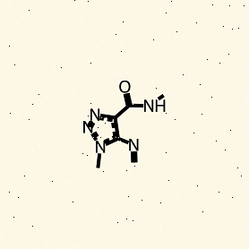 C=Nc1c(C(=O)NC)nnn1C